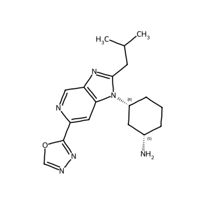 CC(C)Cc1nc2cnc(-c3nnco3)cc2n1[C@@H]1CCC[C@H](N)C1